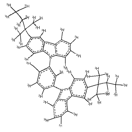 [2H]c1c([2H])c(-n2c3c([2H])c([2H])c([2H])c([2H])c3c3c([2H])c(C(C([2H])([2H])[2H])(C([2H])([2H])[2H])C([2H])([2H])C([2H])([2H])[2H])c([2H])c([2H])c32)c([2H])c(-n2c3c([2H])c([2H])c([2H])c([2H])c3c3c([2H])c(C(C([2H])([2H])[2H])(C([2H])([2H])[2H])C([2H])([2H])C([2H])([2H])[2H])c([2H])c([2H])c32)c1[2H]